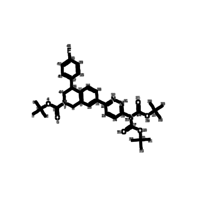 CC(C)(C)OC(=O)N1Cc2cc(-c3ccc(N(C(=O)OC(C)(C)C)C(=O)OC(C)(C)C)nn3)ccc2C(c2ccc(F)cc2)C1